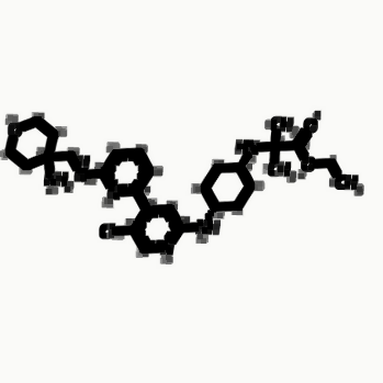 CCOC(=O)C(C)(C)N[C@H]1CC[C@H](Nc2cc(-c3cccc(NCC4(N)CCOCC4)n3)c(Cl)cn2)CC1